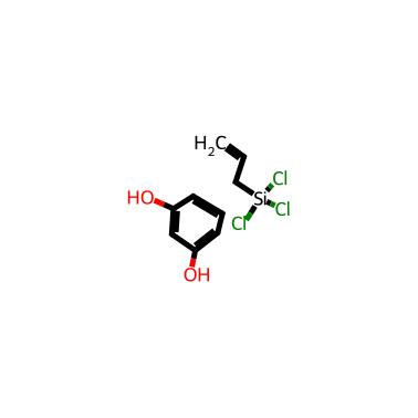 C=CC[Si](Cl)(Cl)Cl.Oc1cccc(O)c1